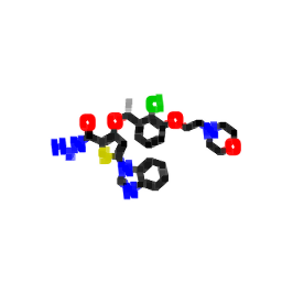 C[C@@H](Oc1cc(-n2cnc3ccccc32)sc1C(N)=O)c1cccc(OCCN2CCOCC2)c1Cl